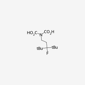 CC(C)(C)C(F)(CCN(C(=O)O)C(=O)O)C(C)(C)C